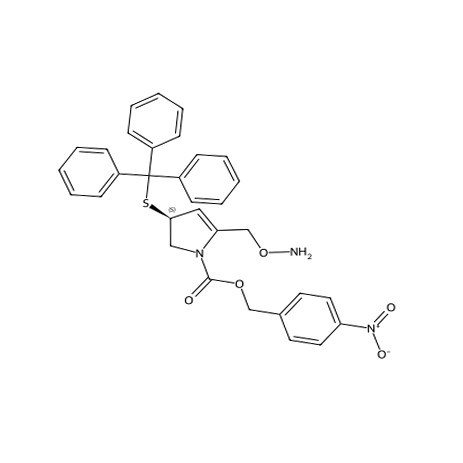 NOCC1=C[C@H](SC(c2ccccc2)(c2ccccc2)c2ccccc2)CN1C(=O)OCc1ccc([N+](=O)[O-])cc1